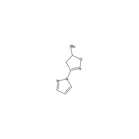 CC(C)(C)C1CC(n2cccn2)=NO1